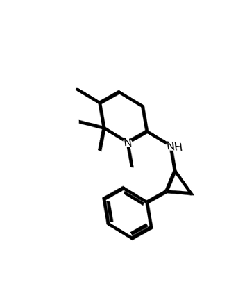 CC1CCC(NC2CC2c2ccccc2)N(C)C1(C)C